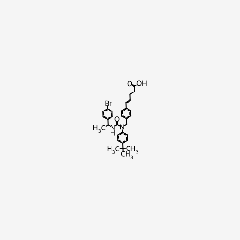 CC(NC(=O)N(Cc1ccc(/C=C/CCC(=O)O)cc1)c1ccc(C(C)(C)C)cc1)c1ccc(Br)cc1